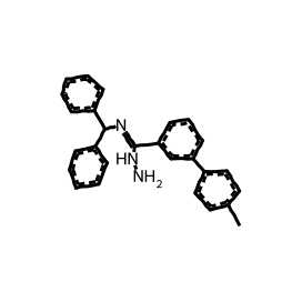 Cc1ccc(-c2cccc(/C(=N/C(c3ccccc3)c3ccccc3)NN)c2)cc1